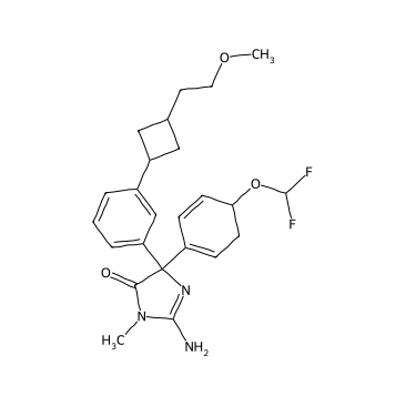 COCCC1CC(c2cccc(C3(C4=CCC(OC(F)F)C=C4)N=C(N)N(C)C3=O)c2)C1